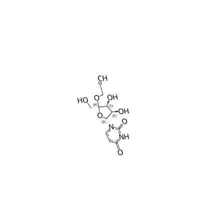 C#CCO[C@]1(CO)O[C@@H](n2ccc(=O)[nH]c2=O)[C@H](O)[C@@H]1O